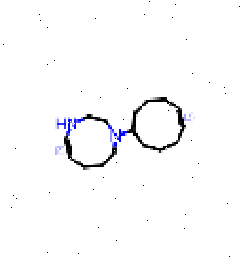 C1=C\CCCC(N2CCC/C=C\NCC2)CCC/1